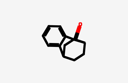 O=C1c2ccccc2C2CCC1CC2